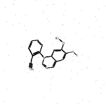 C#Cc1ccc[c]c1N1C=NC=C2C=C(OCC)C(OCC)=CC21